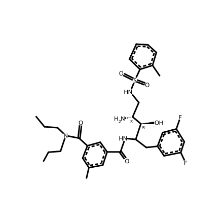 CCCN(CCC)C(=O)c1cc(C)cc(C(=O)NC(Cc2cc(F)cc(F)c2)[C@H](O)[C@H](N)CNS(=O)(=O)c2ccccc2C)c1